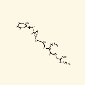 CNC(=O)COCC(N)CCCOCCn1ccnc1